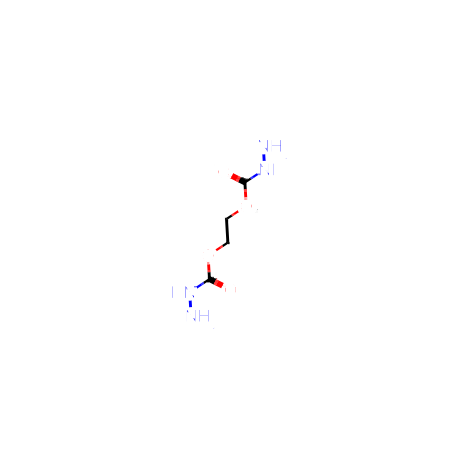 NNC(=O)OCCOC(=O)NN